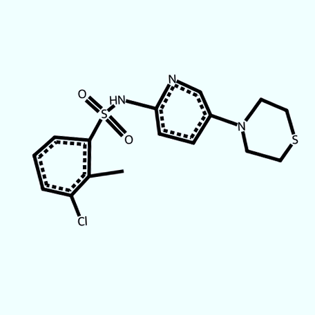 Cc1c(Cl)cccc1S(=O)(=O)Nc1ccc(N2CCSCC2)cn1